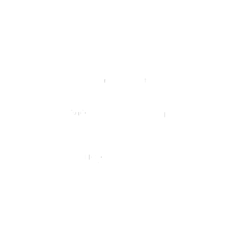 CCc1cc(C(=O)O)c(OCC(C)C)c(CC)c1CC